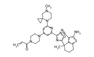 C=CC(=O)N1CCN(c2cc(-c3noc(C4(C)CCCc5sc(N)c(C#N)c54)n3)nc(N3CCN(C)CC34CC4)c2)CC1